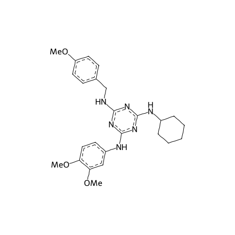 COc1ccc(CNc2nc(Nc3ccc(OC)c(OC)c3)nc(NC3CCCCC3)n2)cc1